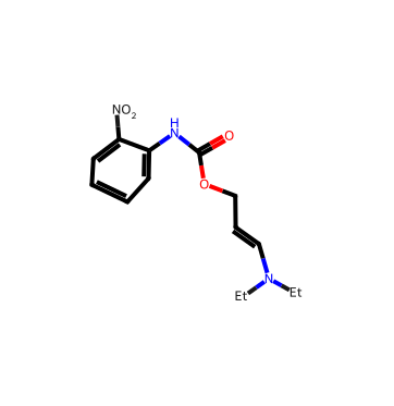 CCN(C=CCOC(=O)Nc1ccccc1[N+](=O)[O-])CC